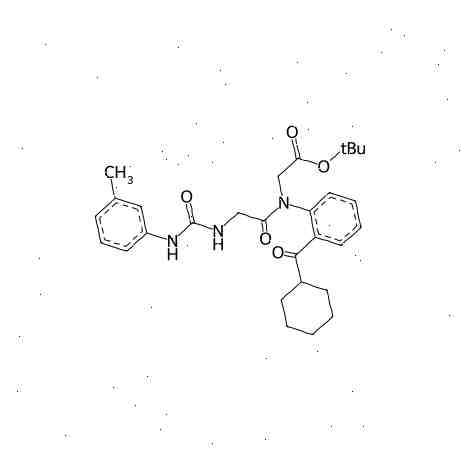 Cc1cccc(NC(=O)NCC(=O)N(CC(=O)OC(C)(C)C)c2ccccc2C(=O)C2CCCCC2)c1